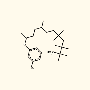 CC(CCC(C)Oc1cccc(C(C)C)c1)CCC(C)(C)CC(C)(C)C(C)(C)C(=O)O